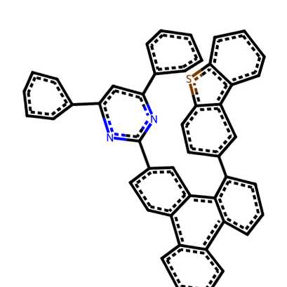 c1ccc(-c2cc(-c3ccccc3)nc(-c3ccc4c5ccccc5c5cccc(-c6ccc7sc8ccccc8c7c6)c5c4c3)n2)cc1